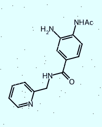 CC(=O)Nc1ccc(C(=O)NCc2ccccn2)cc1N